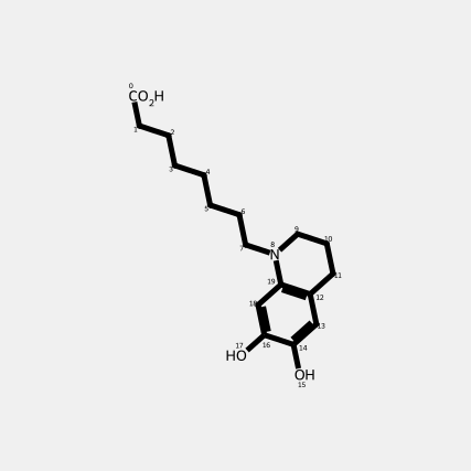 O=C(O)CCCCCCCN1CCCc2cc(O)c(O)cc21